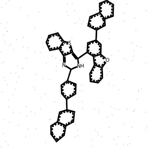 c1ccc2cc(-c3ccc(C4N=c5c(sc6ccccc56)=C(c5cc(-c6ccc7ccccc7c6)cc6oc7ccccc7c56)N4)cc3)ccc2c1